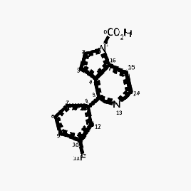 O=C(O)n1ccc2c(-c3cccc(F)c3)nccc21